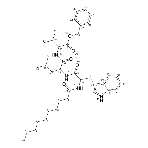 CCCCCCCCCC(=O)NC(Cc1c[nH]c2ccccc12)C(=O)NC(CC(C)C)C(=O)NC(C(=O)OCc1ccccc1)C(C)C